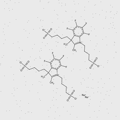 CC1=[N+](CCCCS(=O)(=O)[O-])c2c(F)c(F)c(F)c(F)c2C1(C)CCCCS(=O)(=O)[O-].CC1=[N+](CCCCS(=O)(=O)[O-])c2c(F)c(F)c(F)c(F)c2C1(C)CCCCS(=O)(=O)[O-].[Na+].[Na+]